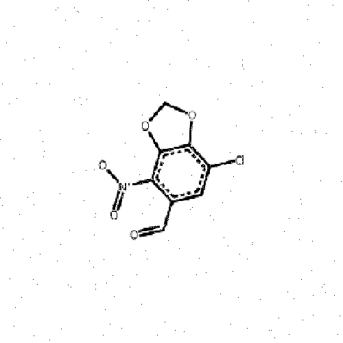 O=Cc1cc(Cl)c2c(c1[N+](=O)[O-])OCO2